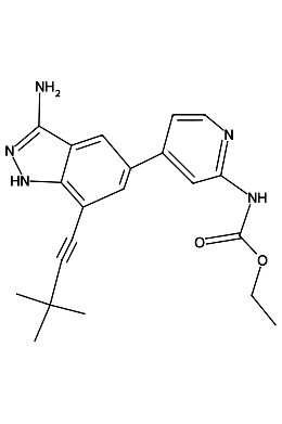 CCOC(=O)Nc1cc(-c2cc(C#CC(C)(C)C)c3[nH]nc(N)c3c2)ccn1